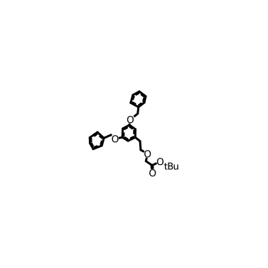 CC(C)(C)OC(=O)COCCc1cc(OCc2ccccc2)cc(OCc2ccccc2)c1